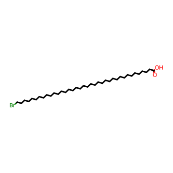 O=C(O)CCCCCCCCCCCCCCCCCCCCCCCCCCCCCCCCCCCCCBr